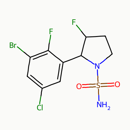 NS(=O)(=O)N1CCC(F)C1c1cc(Cl)cc(Br)c1F